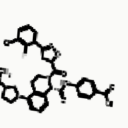 COC1CCN(c2cccc3c2CCN(C(=O)C2CC(c4cccc(Cl)c4F)=NO2)[C@@H]3C(=O)Nc2ccc(C(=O)O)cc2)C1